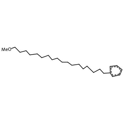 [CH2]OCCCCCCCCCCCCCCCCCCc1ccccc1